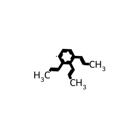 CC=Cc1[c]ccc(C=CC)c1C=CC